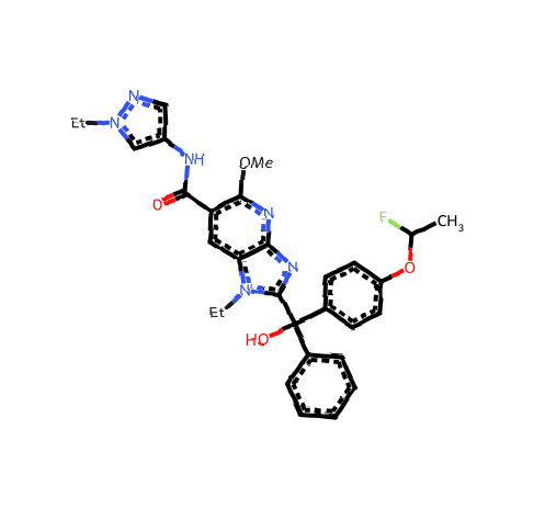 CCn1cc(NC(=O)c2cc3c(nc2OC)nc(C(O)(c2ccccc2)c2ccc(OC(C)F)cc2)n3CC)cn1